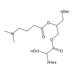 CCCCCCCCCCCC(COC(=O)C(CCCCCC)CCCCCCCC)OC(=O)CCCN(C)C